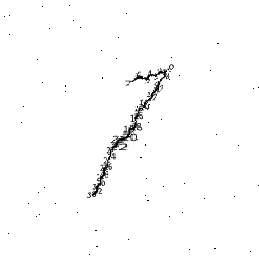 [CH2]C(CCCCCC)CCCCCCCCCCCCCCCCCCCCCCCCCC